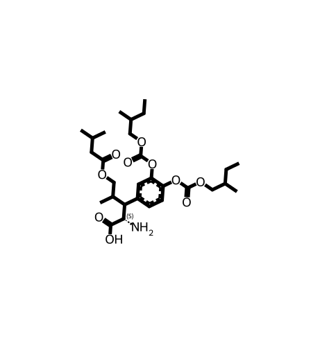 CCC(C)COC(=O)Oc1ccc(C(C(C)COC(=O)CC(C)C)[C@H](N)C(=O)O)cc1OC(=O)OCC(C)CC